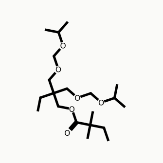 CCC(COCOC(C)C)(COCOC(C)C)COC(=O)C(C)(C)CC